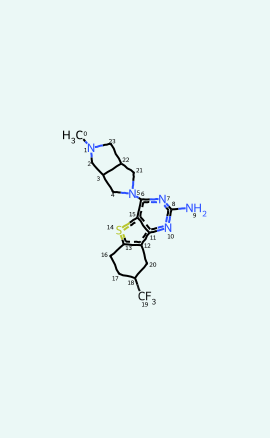 CN1CC2CN(c3nc(N)nc4c5c(sc34)CCC(C(F)(F)F)C5)CC2C1